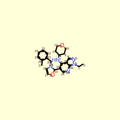 CCn1ncc2c(NC3CCOCC3)c(C3OC=CN3Cc3ccccc3C)cnc21